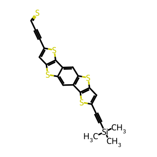 C[Si](C)(C)C#Cc1cc2sc3cc4c(cc3c2s1)sc1cc(C#CC=S)sc14